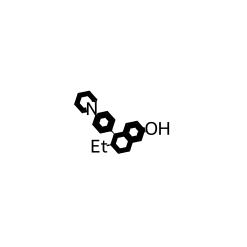 CC[C@H]1CCc2cc(O)ccc2[C@H]1c1ccc(N2CCCCC2)cc1